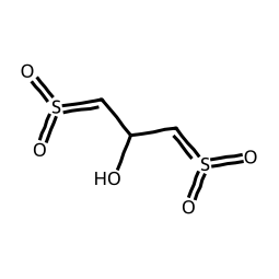 O=S(=O)=CC(O)C=S(=O)=O